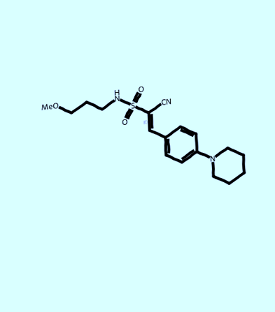 COCCCNS(=O)(=O)/C(C#N)=C/c1ccc(N2CCCCC2)cc1